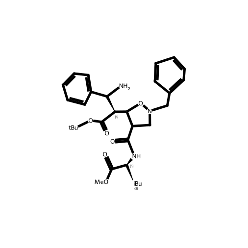 CC[C@H](C)[C@H](NC(=O)C1CN(Cc2ccccc2)OC1[C@@H](C(=O)OC(C)(C)C)C(N)c1ccccc1)C(=O)OC